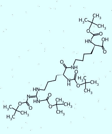 CC(C)(C)OC(=O)/N=C(/NCCCC[C@@H](NC(=O)OC(C)(C)C)C(=O)NCCCC[C@@H](NC(=O)OC(C)(C)C)C(=O)O)NC(=O)OC(C)(C)C